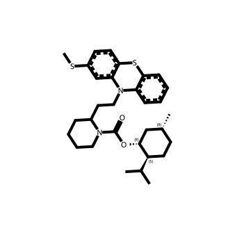 CSc1ccc2c(c1)N(CCC1CCCCN1C(=O)O[C@@H]1C[C@H](C)CC[C@H]1C(C)C)c1ccccc1S2